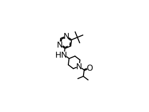 CC(C)C(=O)N1CCC(Nc2cc(C(C)(C)C)ncn2)CC1